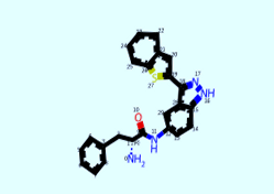 N[C@H](Cc1ccccc1)C(=O)Nc1ccc2[nH]nc(-c3cc4ccccc4s3)c2c1